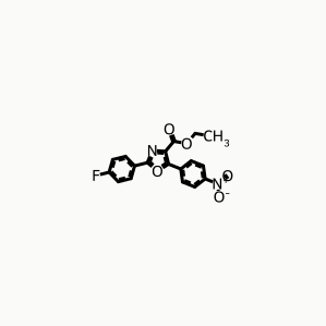 CCOC(=O)c1nc(-c2ccc(F)cc2)oc1-c1ccc([N+](=O)[O-])cc1